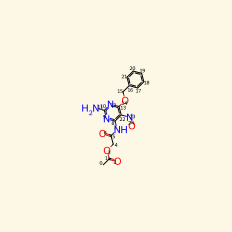 CC(=O)OCC(=O)Nc1nc(N)nc(OCc2ccccc2)c1N=O